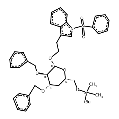 CC(C)(C)[Si](C)(C)OC[C@@H]1C[C@H](OCc2ccccc2)[C@@H](OCc2ccccc2)[C@H](OCCc2cn(S(=O)(=O)c3ccccc3)c3ccccc23)O1